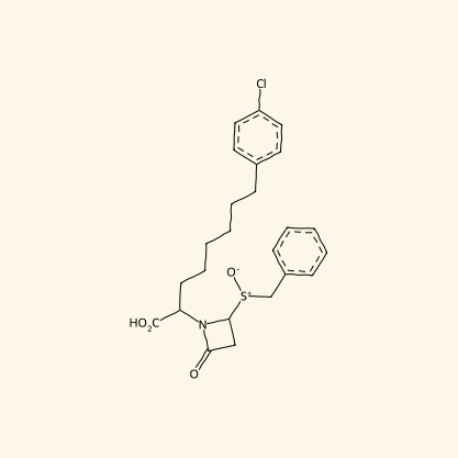 O=C(O)C(CCCCCCc1ccc(Cl)cc1)N1C(=O)CC1[S+]([O-])Cc1ccccc1